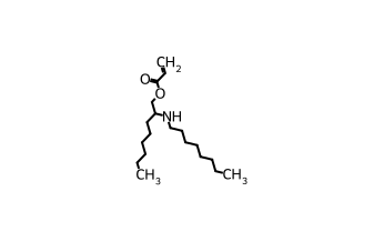 C=CC(=O)OCC(CCCCCC)NCCCCCCCC